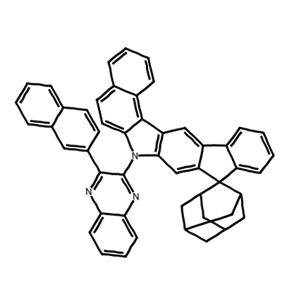 c1ccc2c(c1)-c1cc3c4c5ccccc5ccc4n(-c4nc5ccccc5nc4-c4ccc5ccccc5c4)c3cc1C21C2CC3CC(C2)CC1C3